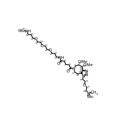 CO[C@H]1CN(C(=O)CCCC(=O)NCCCOCCOCCOCCCNC(C)(C)C)CCc2c(nnn2CCOCCN(C)C(C)(C)C)[C@@H]1OC